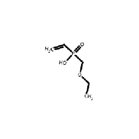 C=CP(=O)(O)COCC